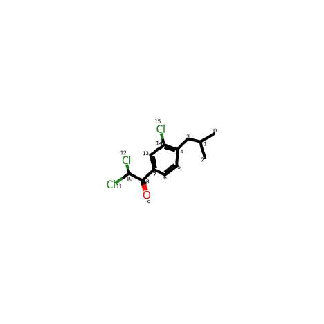 CC(C)Cc1ccc(C(=O)C(Cl)Cl)cc1Cl